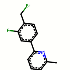 Cc1cccc(-c2ccc(CBr)c(F)c2)n1